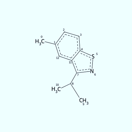 Cc1ccc2snc(C(C)C)c2c1